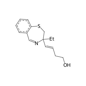 CCC1(C=CCCO)CSc2ccccc2C=N1